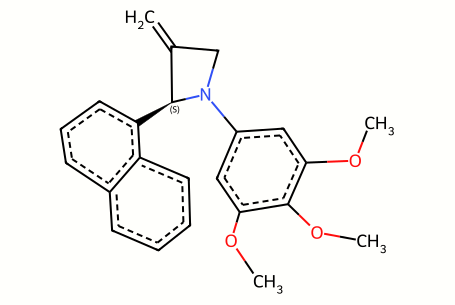 C=C1CN(c2cc(OC)c(OC)c(OC)c2)[C@H]1c1cccc2ccccc12